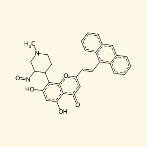 CN1CCC(c2c(O)cc(O)c3c(=O)cc(/C=C/c4c5ccccc5cc5ccccc45)oc23)C(N=O)C1